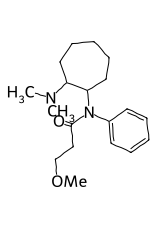 COCCC(=O)N(c1ccccc1)C1CCCCCC1N(C)C